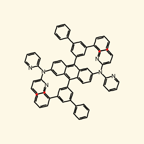 c1ccc(-c2cc(-c3ccccc3)cc(-c3c4ccc(N(c5ccccn5)c5ccccn5)cc4c(-c4cc(-c5ccccc5)cc(-c5ccccc5)c4)c4ccc(N(c5ccccn5)c5ccccn5)cc34)c2)cc1